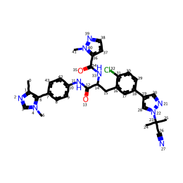 Cc1ncn(C)c1-c1ccc(NC(=O)C(Cc2cc(-c3cnn(C(C)(C)C#N)c3)ccc2Cl)NC(=O)c2ccnn2C)cc1